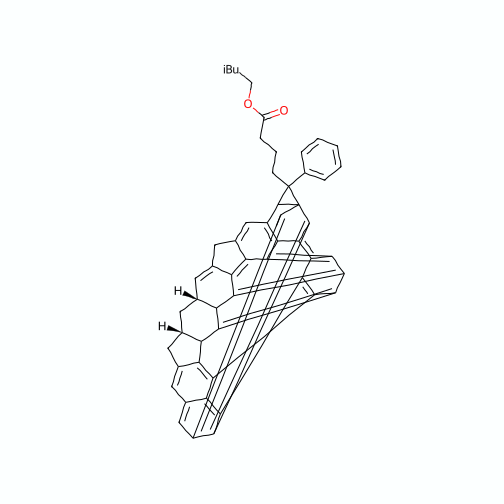 CCC(C)COC(=O)CCCC1(c2ccccc2)C2c3cc4c5c6c7c8c9c%10c%11c%12c(cc%13cc%14c%15c(c%16c3c5c8c%16c%10c%15c%13%11)C21C=%14)C[C@@H]1C[C@H](C=C6C4)C7C=9C%121